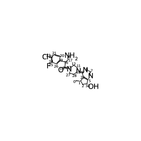 C[C@@H]1C[C@@H](O)c2ncnc(N3CCN(C(=O)C(CN)c4ccc(Cl)c(F)c4)CC3)c21